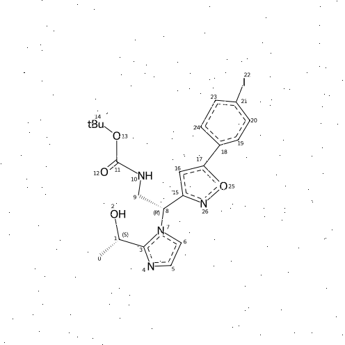 C[C@H](O)c1nccn1[C@H](CNC(=O)OC(C)(C)C)c1cc(-c2ccc(I)cc2)on1